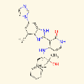 Cc1cc(-n2ccnc2)cc2[nH]c(-c3c(N[C@H](Cc4ccccc4)C(C)(C)O)cc[nH]c3=O)nc12